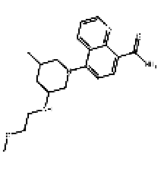 COCCNC1CC(C)CN(c2ccc(C(N)=O)c3ncccc23)C1